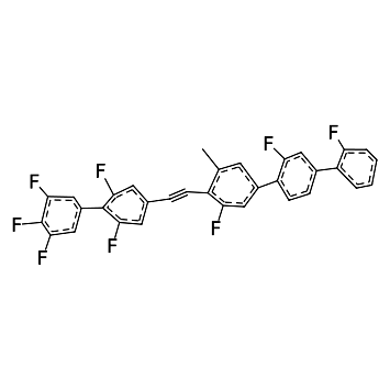 Cc1cc(-c2ccc(-c3ccccc3F)cc2F)cc(F)c1C#Cc1cc(F)c(-c2cc(F)c(F)c(F)c2)c(F)c1